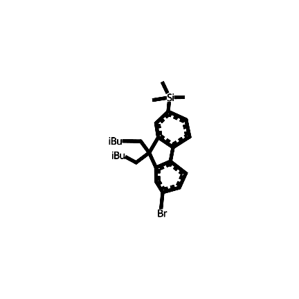 CCC(C)CC1(CC(C)CC)c2cc(Br)ccc2-c2ccc([Si](C)(C)C)cc21